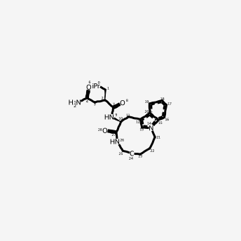 CC(C)C[C@H](CC(N)=O)C(=O)N[C@H]1Cc2cn(c3ccccc23)CCCCCNC1=O